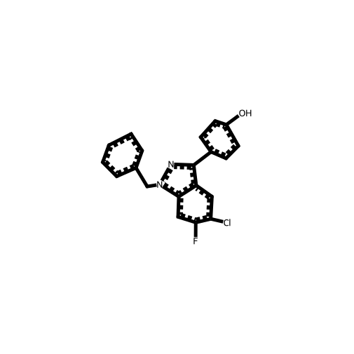 Oc1ccc(-c2nn(Cc3ccccc3)c3cc(F)c(Cl)cc23)cc1